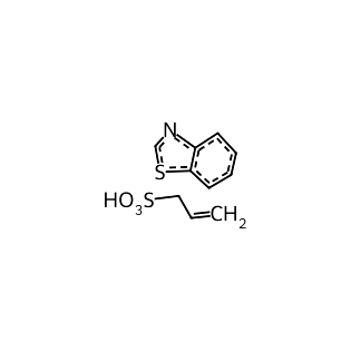 C=CCS(=O)(=O)O.c1ccc2scnc2c1